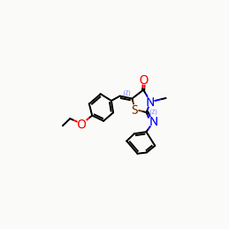 CCOc1ccc(/C=C2\S/C(=N\c3ccccc3)N(C)C2=O)cc1